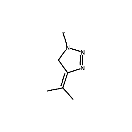 [CH2]N1CC(=C(C)C)N=N1